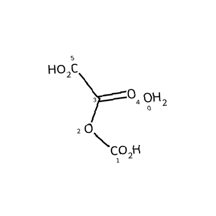 O.O=C(O)OC(=O)C(=O)O